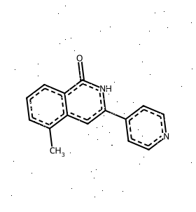 Cc1cccc2c(=O)[nH]c(-c3ccncc3)cc12